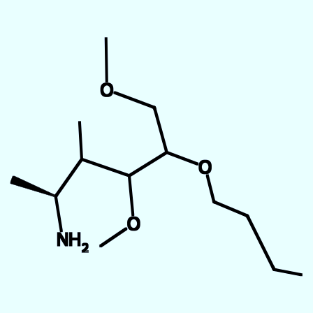 CCCCOC(COC)C(OC)C(C)[C@H](C)N